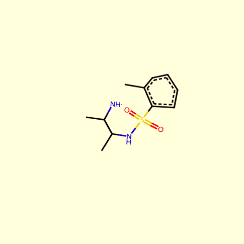 Cc1ccccc1S(=O)(=O)NC(C)C(C)[NH]